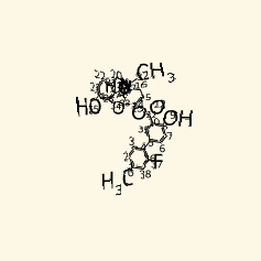 Cc1ccc(-c2ccc(O)c(C(=O)OC3=CCC4(O)C5Cc6ccc(O)c7c6C4(CCN5C)C3O7)c2)c(F)c1